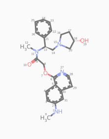 CNc1ccc2c(OCC(=O)N(C)[C@H](CN3CC[C@H](O)C3)c3ccccc3)nccc2c1